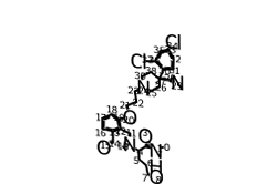 CNC(=O)C(CCC=O)N(C)Cc1c(C=O)cccc1OCCCN1CCC(C#N)(c2ccc(Cl)cc2Cl)CC1